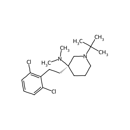 CN(C)[C@]1(CCc2c(Cl)cccc2Cl)CCCN(C(C)(C)C)C1